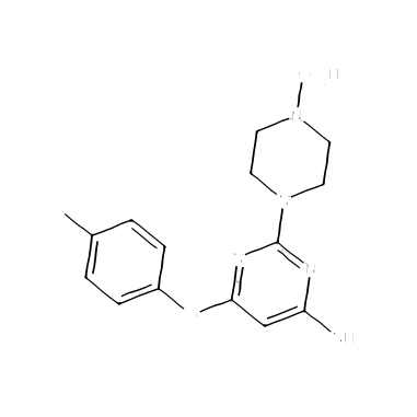 Nc1cc(Oc2ccc(F)cc2)nc(N2CCN(C(=O)O)CC2)n1